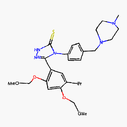 COCOc1cc(OCOC)c(C(C)C)cc1-c1n[nH]c(=S)n1-c1ccc(CN2CCN(C)CC2)cc1